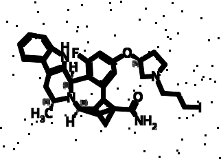 C[C@@H]1Cc2c([nH]c3ccccc23)[C@H]2c3c(F)cc(O[C@H]4CCN(CCCI)C4)cc3C3C4CC3(C(N)=O)C[C@H]4N21